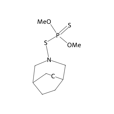 COP(=S)(OC)SN1CC2CCC(CC2)C1